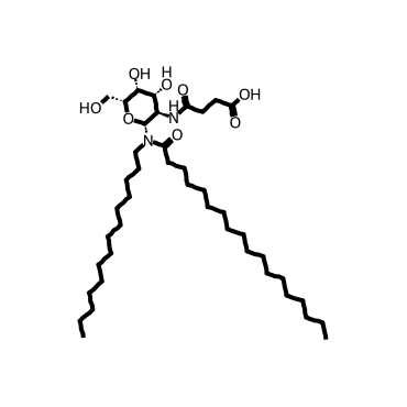 CCCCCCCCCCCCCCCCCC(=O)N(CCCCCCCCCCCCCC)[C@@H]1O[C@H](CO)[C@H](O)[C@H](O)[C@H]1NC(=O)CCC(=O)O